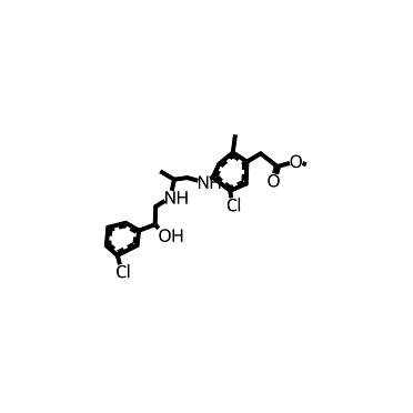 COC(=O)Cc1cc(Cl)c(NCC(C)NCC(O)c2cccc(Cl)c2)cc1C